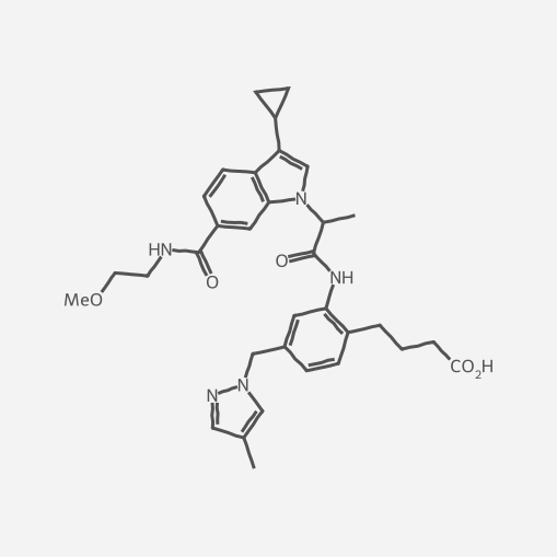 COCCNC(=O)c1ccc2c(C3CC3)cn(C(C)C(=O)Nc3cc(Cn4cc(C)cn4)ccc3CCCC(=O)O)c2c1